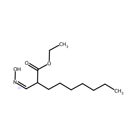 CCCCCCCC(/C=N\O)C(=O)OCC